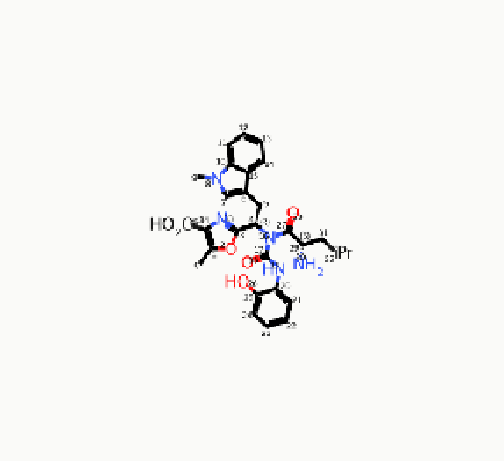 Cc1oc([C@@H](Cc2cn(C)c3ccccc23)N(C(=O)Nc2ccccc2O)C(=O)[C@@H](N)CC(C)C)nc1C(=O)O